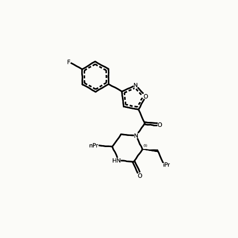 CCCC1CN(C(=O)c2cc(-c3ccc(F)cc3)no2)[C@@H](CC(C)C)C(=O)N1